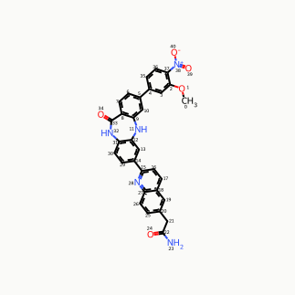 COc1cc(-c2ccc3c(c2)Nc2cc(-c4ccc5cc(CC(N)=O)ccc5n4)ccc2NC3=O)ccc1[N+](=O)[O-]